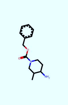 CC1CN(C(=O)OCc2ccccc2)CCC1N